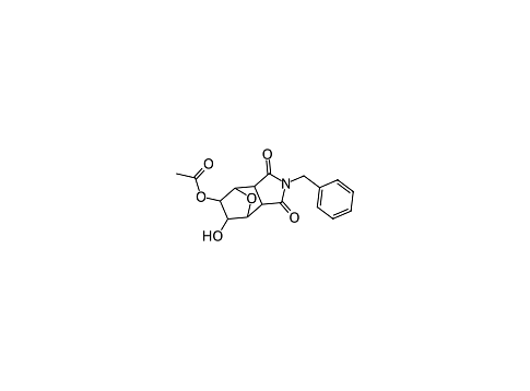 CC(=O)OC1C(O)C2OC1C1C(=O)N(Cc3ccccc3)C(=O)C21